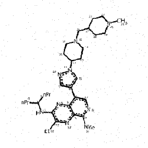 CCCC(CCC)Nc1nc2c(-c3cnn(C4CCN(CC5CCN(C)CC5)CC4)c3)cnc(NC)c2nc1CC